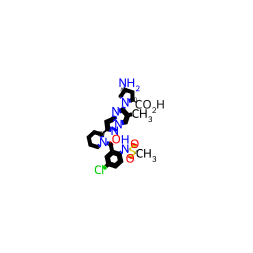 Cc1cn2nc([C@@H]3CCCCN3C(=O)c3cc(Cl)ccc3NS(C)(=O)=O)cc2nc1N1C[C@H](N)C[C@@H]1C(=O)O